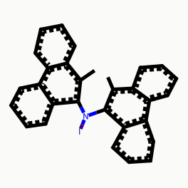 Cc1c(N(I)c2c(C)c3ccccc3c3ccccc23)c2ccccc2c2ccccc12